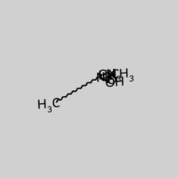 CCCCCCCCCCCCCCCCCCN(C)CC(CO)OC(=O)NC